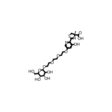 C[C@]1(C(=O)O)CSC(c2ncc(OCCOCCOCCO[C@@H]3OC(CO)[C@@H](O)[C@@H](O)C3O)cc2O)=N1